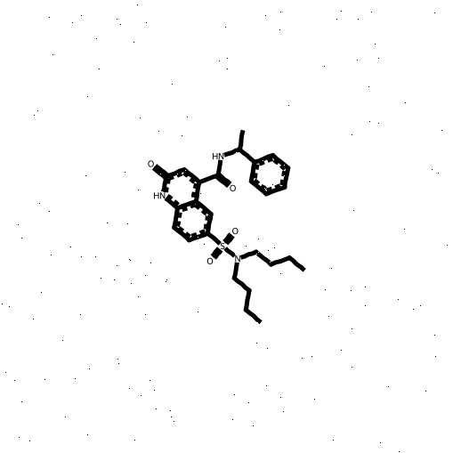 CCCCN(CCCC)S(=O)(=O)c1ccc2[nH]c(=O)cc(C(=O)NC(C)c3ccccc3)c2c1